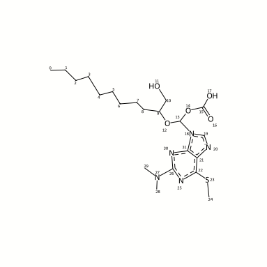 CCCCCCCCCC(CO)OC(OC(=O)O)n1cnc2c(SC)nc(N(C)C)nc21